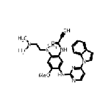 C#CC(=O)Nc1cc(Nc2nccc(-n3ccc4ccccc43)n2)c(OC)cc1N(C)CCN(C)C